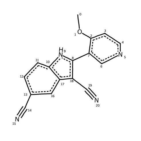 COc1ccncc1-c1[nH]c2ccc(C#N)cc2c1C#N